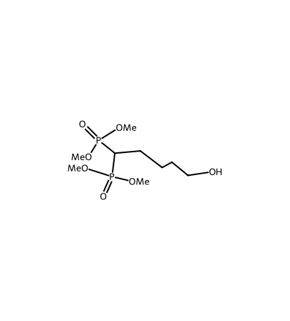 COP(=O)(OC)C(CCCCO)P(=O)(OC)OC